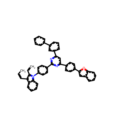 C=Cc1c(/C=C\C)c2ccccc2n1-c1ccc(-c2nc(-c3ccc(-c4cc5ccccc5o4)cc3)cc(-c3cccc(-c4ccccc4)c3)n2)cc1